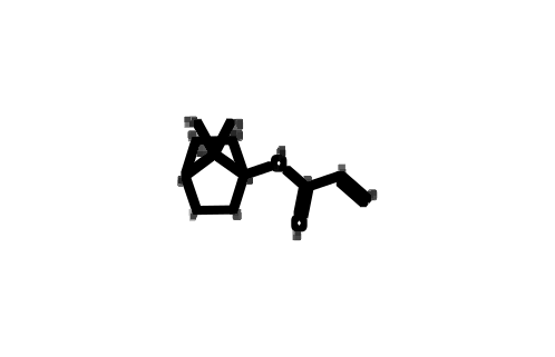 C=CC(=O)OC12CCC(CC1)C2(C)C